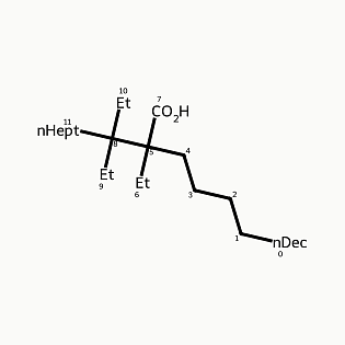 CCCCCCCCCCCCCCC(CC)(C(=O)O)C(CC)(CC)CCCCCCC